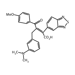 COc1ccc(C(=O)/C(Cc2cccc(N(C)C)c2)=C(/C(=O)O)c2ccc3nsnc3c2)cc1